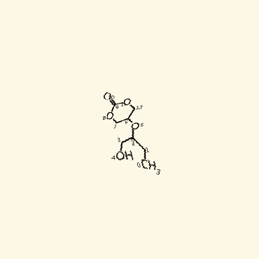 CCC(CO)OC1COC(=O)OC1